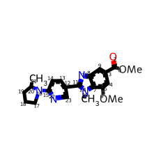 COC(=O)c1cc(OC)c2c(c1)nc(-c1ccc(N3CCCC3C)nc1)n2C